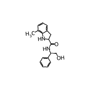 Cc1cccc2c1NC(C(=O)N[C@@H](CO)c1ccccc1)C2